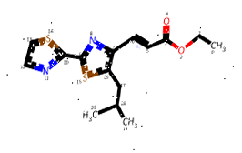 CCOC(=O)/C=C/c1nc(-c2nccs2)sc1CC(C)C